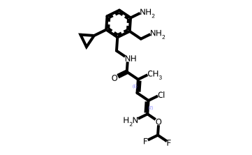 C/C(=C\C(Cl)=C(/N)OC(F)F)C(=O)NCc1c(C2CC2)ccc(N)c1CN